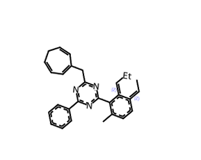 C/C=c1/ccc(C)c(-c2nc(CC3=CC=CCC=C3)nc(-c3ccccc3)n2)/c1=C/CC